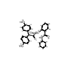 COC(=O)C(c1ccc(O)cc1)c1ccc(O)cc1.O=C(Nc1ccccc1)c1ccccc1O